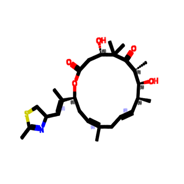 CC1=NC(/C=C(\C)[C@@H]2C/C=C(/C)C/C=C/[C@H](C)[C@H](O)[C@@H](C)C(=O)C(C)(C)[C@@H](O)CC(=O)O2)CS1